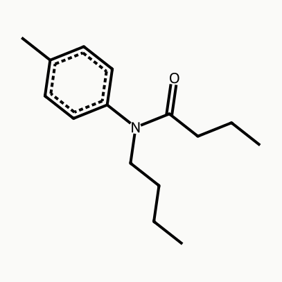 CCCCN(C(=O)CCC)c1ccc(C)cc1